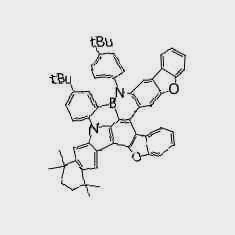 CC(C)(C)c1ccc(N2B3c4cc(C(C)(C)C)ccc4-n4c5cc6c(cc5c5c7oc8ccccc8c7c(c3c54)-c3cc4oc5ccccc5c4cc32)C(C)(C)CCC6(C)C)cc1